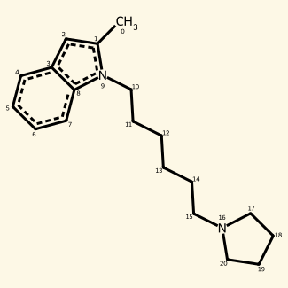 Cc1cc2ccccc2n1CCCCCCN1CCCC1